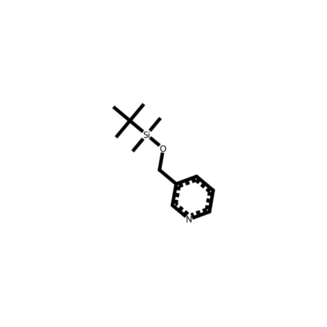 CC(C)(C)[Si](C)(C)OCc1cccnc1